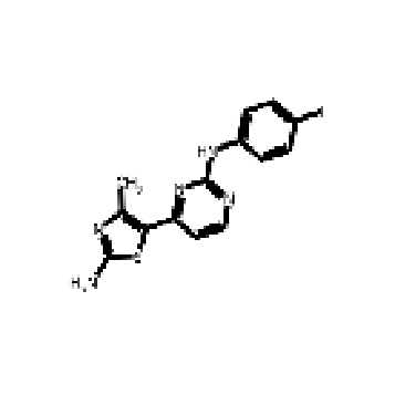 Cc1nc(N)sc1-c1ccnc(Nc2ccc(I)cc2)n1